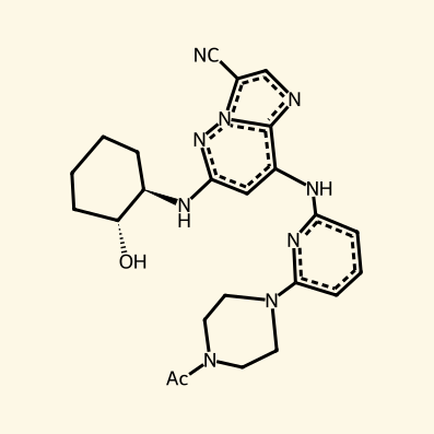 CC(=O)N1CCN(c2cccc(Nc3cc(N[C@@H]4CCCC[C@H]4O)nn4c(C#N)cnc34)n2)CC1